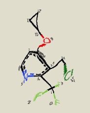 FC(F)(F)c1nccc(OC2CC2)c1CCl